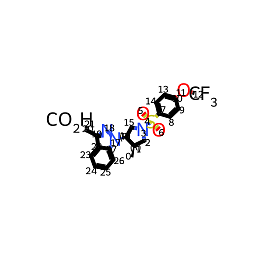 C[C@@H]1CN(S(=O)(=O)c2ccc(OC(F)(F)F)cc2)C[C@@H]1n1nc(CC(=O)O)c2ccccc21